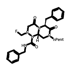 CCCCCN1C[C@H]2N(C(=O)CN(CF)N2C(=O)NCc2ccccc2)[C@@H](Cc2ccccc2)C1=O